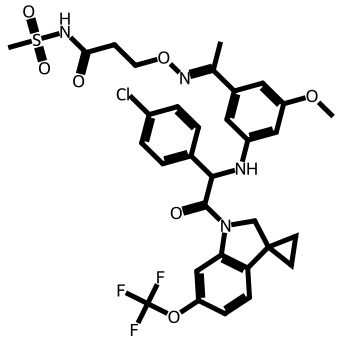 COc1cc(NC(C(=O)N2CC3(CC3)c3ccc(OC(F)(F)F)cc32)c2ccc(Cl)cc2)cc(C(C)=NOCCC(=O)NS(C)(=O)=O)c1